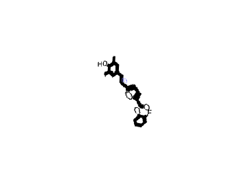 Cc1cc(/C=C/c2ccc(C(=O)Oc3ccccc3F)o2)cc(C)c1O